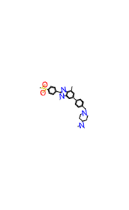 Cc1cc(-c2ccc(CN3CCC(N(C)C)CC3)cc2)cc2c1nc(-c1ccc(S(C)(=O)=O)cc1)n2C